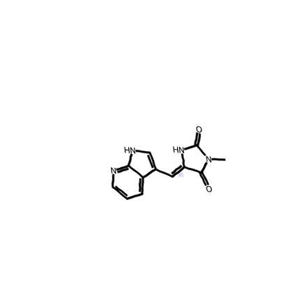 CN1C(=O)N/C(=C\c2c[nH]c3ncccc23)C1=O